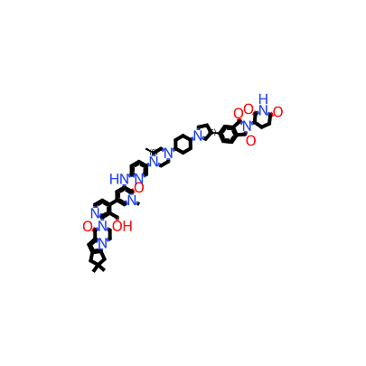 C[C@H]1CN(C2CCC(N3CC[C@@H](c4ccc5c(c4)C(=O)N(C4CCC(=O)NC4=O)C5=O)C3)CC2)CCN1c1ccc(Nc2cc(-c3ccnc(N4CCn5c(cc6c5CC(C)(C)C6)C4=O)c3CO)cn(C)c2=O)nc1